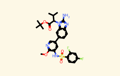 COc1ncc(-c2ccc3nc(N)n(C(C(=O)OC(C)(C)C)C(C)C)c3c2)cc1NS(=O)(=O)c1ccc(F)cc1F